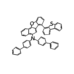 c1ccc(-c2ccc(N(c3ccc(-c4ccccc4)cc3)c3cc4c(oc5cccc(-c6cccc7c6sc6ccccc67)c54)c4ccccc34)cc2)cc1